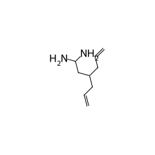 C=CCC(CC=C)CC(N)N